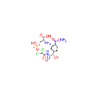 CP(=O)(O)CCC(N)C(=O)O.N.O=C(N[C@H](CO)[C@H](O)c1ccc([N+](=O)[O-])cc1)C(Cl)Cl